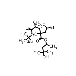 CCC(CC(C)(CC(C)C(=O)OC(C)(C)C(C)(C)C)C(=O)OC(C)CC(O)(C(F)(F)F)C(F)(F)F)C(=O)O